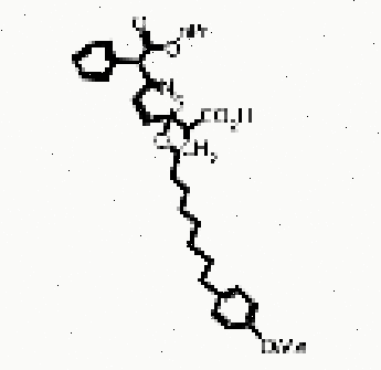 C=C(C(=O)O)C1(OCCCCCCCCc2ccc(OC)cc2)C=CC(C(C(=O)OCCC)c2ccccc2)=NS1